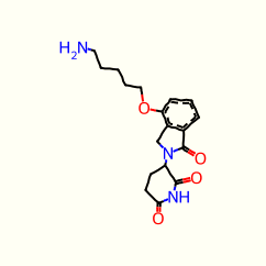 NCCCCCOc1cccc2c1CN(C1CCC(=O)NC1=O)C2=O